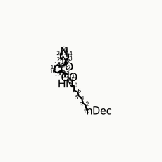 CCCCCCCCCCCCCCCCCCNC(=O)OCc1ccccc1C(=O)N1CCN(C)CC1